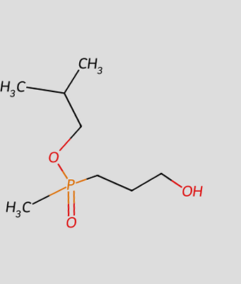 CC(C)COP(C)(=O)CCCO